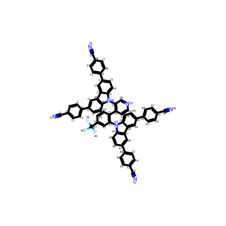 N#Cc1ccc(-c2ccc3c(c2)c2cc(-c4ccc(C#N)cc4)ccc2n3-c2cnccc2-c2ccc(C(F)(F)F)cc2-n2c3ccc(-c4ccc(C#N)cc4)cc3c3cc(-c4ccc(C#N)cc4)ccc32)cc1